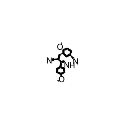 COc1ccc2c(/C(C#N)=C\c3cc(C#N)ccc3OC)c[nH]c2c1